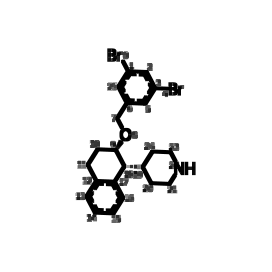 Brc1cc(Br)cc(CO[C@@H]2CCc3ccccc3[C@H]2C2CCNCC2)c1